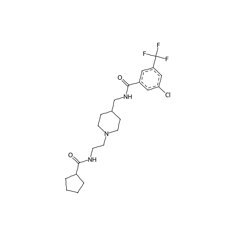 O=C(NCC1CCN(CCNC(=O)C2CCCC2)CC1)c1cc(Cl)cc(C(F)(F)F)c1